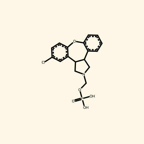 O=P(O)(O)OCN1CC2c3ccccc3Oc3ccc(Cl)cc3C2C1